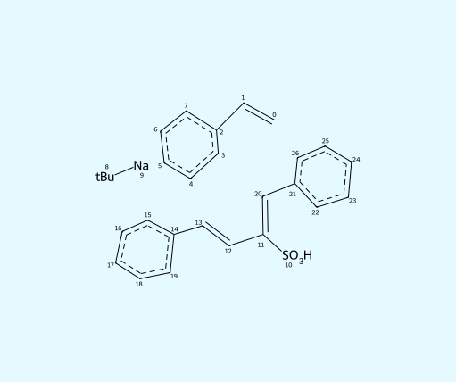 C=Cc1ccccc1.C[C](C)(C)[Na].O=S(=O)(O)C(C=Cc1ccccc1)=Cc1ccccc1